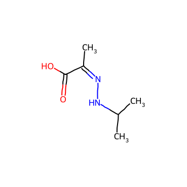 C/C(=N/NC(C)C)C(=O)O